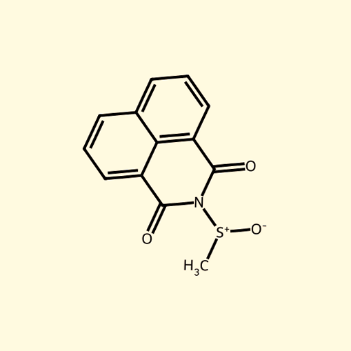 C[S+]([O-])N1C(=O)c2cccc3cccc(c23)C1=O